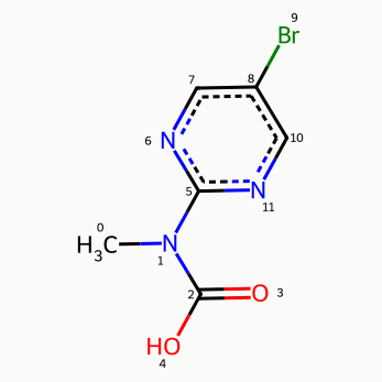 CN(C(=O)O)c1ncc(Br)cn1